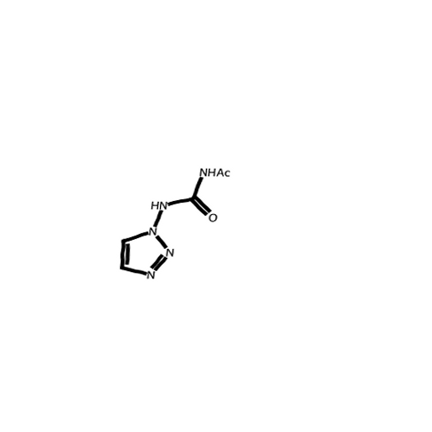 CC(=O)NC(=O)Nn1ccnn1